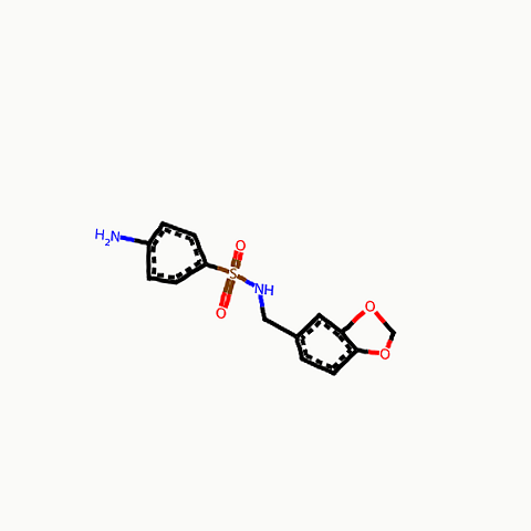 Nc1ccc(S(=O)(=O)NCc2ccc3c(c2)OCO3)cc1